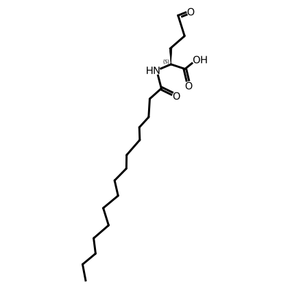 CCCCCCCCCCCCCCC(=O)N[C@@H](CCC=O)C(=O)O